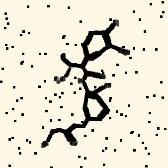 COc1cc([C@@H](C(=O)Nc2cc(CCC(=O)OC(C)(C)C)ccc2Cl)[C@@H](C)C(F)(F)F)ccc1Cl